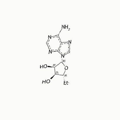 C[CH][C@H]1O[C@@H](n2cnc3c(N)ncnc32)[C@H](O)[C@@H]1O